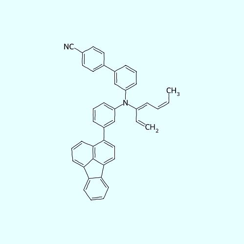 C=C/C(=C\C=C/C)N(c1cccc(-c2ccc(C#N)cc2)c1)c1cccc(-c2ccc3c4c(cccc24)-c2ccccc2-3)c1